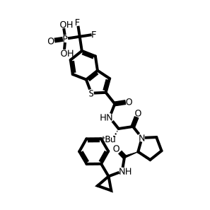 CC(C)(C)[C@H](NC(=O)c1cc2cc(C(F)(F)P(=O)(O)O)ccc2s1)C(=O)N1CCC[C@H]1C(=O)NC1(c2ccccc2)CC1